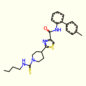 CCCCNC(=S)N1CCC(c2nc(C(=O)Nc3ccccc3-c3ccc(C)cc3)cs2)CC1